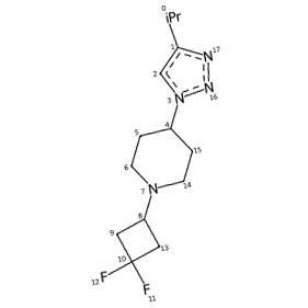 CC(C)c1cn(C2CCN(C3CC(F)(F)C3)CC2)nn1